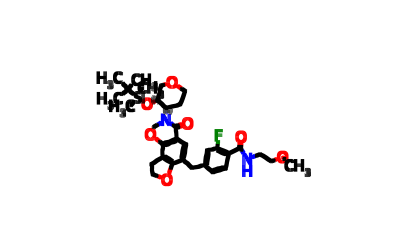 COCCNC(=O)c1ccc(Cc2cc3c(c4c2OCC4)OCN([C@H]2CCOC[C@@H]2O[Si](C)(C)C(C)(C)C)C3=O)cc1F